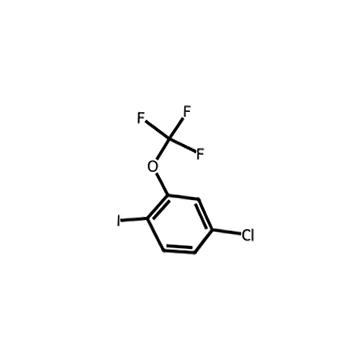 FC(F)(F)Oc1cc(Cl)ccc1I